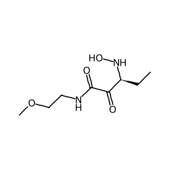 CC[C@H](NO)C(=O)C(=O)NCCOC